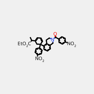 CCOC(=O)C(C)C1=CC=CC(c2ccc([N+](=O)[O-])cc2)(c2cccc3c2CCN(C(=O)c2ccc([N+](=O)[O-])cc2)C3)C1